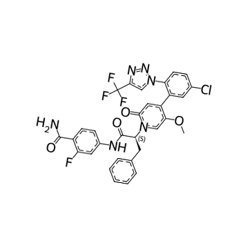 COc1cn([C@@H](Cc2ccccc2)C(=O)Nc2ccc(C(N)=O)c(F)c2)c(=O)cc1-c1cc(Cl)ccc1-n1cc(C(F)(F)F)nn1